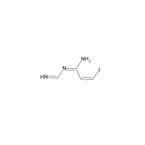 N=C/N=C(N)\C=C/I